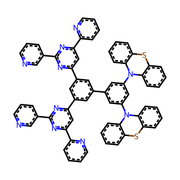 c1ccc(-c2cc(-c3cc(-c4cc(N5c6ccccc6Sc6ccccc65)cc(N5c6ccccc6Sc6ccccc65)c4)cc(-c4cc(-c5ccccn5)nc(-c5cccnc5)n4)c3)nc(-c3cccnc3)n2)nc1